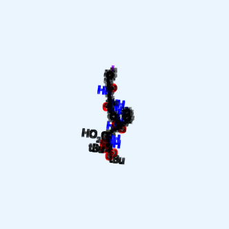 CC(C)(C)OC(=O)CC[C@H](NC(=O)N[C@@H](CCCCNC(=O)[C@@H](Cc1ccc2ccccc2c1)NC(=O)[C@H]1CC[C@H](CNC(=O)[C@@H](N)CCCCNC(=O)CCCc2ccc(I)cc2)CC1)C(=O)O)C(=O)OC(C)(C)C